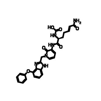 NC(=O)/C=C/CC[C@H](NC(=O)O)C(=O)Nc1cccn(Cc2nc3c(Oc4ccccc4)cccc3[nH]2)c1=O